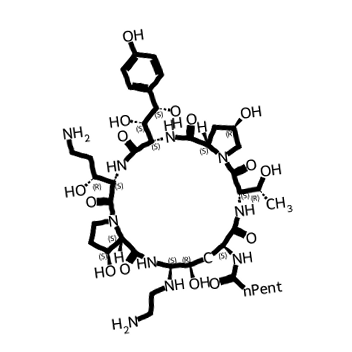 CCCCCC(=O)N[C@H]1C[C@@H](O)[C@@H](NCCN)NC(=O)[C@@H]2[C@@H](O)CCN2C(=O)[C@H]([C@H](O)CCN)NC(=O)[C@H]([C@H](O)[C@@H](O)c2ccc(O)cc2)NC(=O)[C@@H]2C[C@@H](O)CN2C(=O)[C@H]([C@@H](C)O)NC1=O